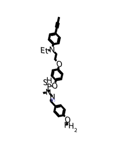 CC#Cc1ccc(N(CC)CCOc2ccc(O[PH](=S)N(C)/N=C/c3ccc(OP)cc3)cc2)cc1